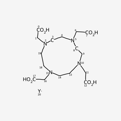 O=C(O)CN1CCN(CC(=O)O)CCN(CC(=O)O)CCN(CC(=O)O)CC1.[Y]